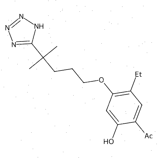 CCc1cc(C(C)=O)c(O)cc1OCCCC(C)(C)c1nnn[nH]1